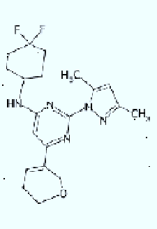 Cc1cc(C)n(-c2nc(NC3CCC(F)(F)CC3)cc(C3=CCCOC3)n2)n1